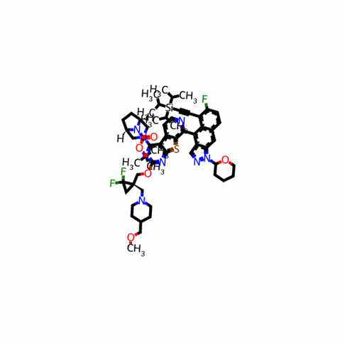 COCC1CCN(C[C@@]2(COc3nc(N4C[C@H]5CC[C@@H](C4)N5C(=O)OC(C)(C)C)c4c(n3)sc3c(-c5c6cnn(C7CCCCO7)c6cc6ccc(F)c(C#C[Si](C(C)C)(C(C)C)C(C)C)c56)nccc34)CC2(F)F)CC1